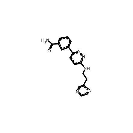 NC(=O)c1cccc(-c2ccc(NCCc3cnccn3)nn2)c1